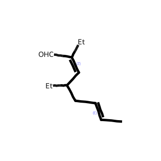 C/C=C/CC(/C=C(\C=O)CC)CC